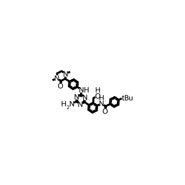 CN1CCN(C)C(c2ccc(Nc3nc(N)nc(-c4cccc(NC(=O)c5ccc(C(C)(C)C)cc5)c4CO)n3)cc2)C1=O